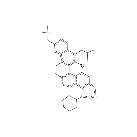 Cc1c2c(c(CC(C)C)c3ccc(CC(C)(C)C)cc13)Oc1cc3cccc(C4CCCCC4)c3c3cc[n+](C)c-2c13